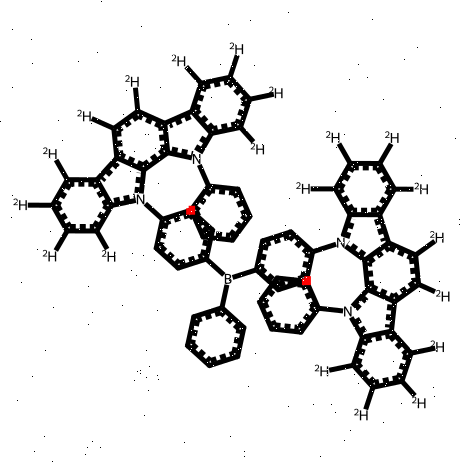 [2H]c1c([2H])c([2H])c2c(c1[2H])c1c([2H])c([2H])c3c4c([2H])c([2H])c([2H])c([2H])c4n(-c4ccc(B(c5ccccc5)c5ccc(-n6c7c([2H])c([2H])c([2H])c([2H])c7c7c([2H])c([2H])c8c9c([2H])c([2H])c([2H])c([2H])c9n(-c9ccccc9)c8c76)cc5)cc4)c3c1n2-c1ccccc1